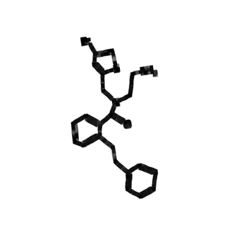 NCCN(Cc1cc(Br)cs1)C(=O)c1ccccc1CCc1ccccc1